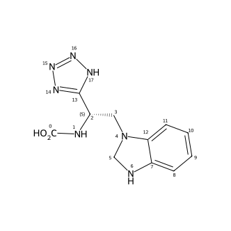 O=C(O)N[C@@H](CN1CNc2ccccc21)c1nnn[nH]1